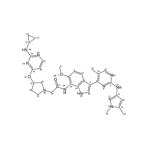 COc1ccc2c(-c3nc(Nc4cc(C)n(C)n4)ncc3C)c[nH]c2c1NC(=O)CN1CCC(Oc2ccnc(NC3CC3)n2)C1